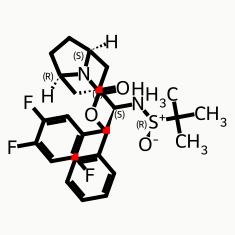 CC(C)(C)[S@+]([O-])N[C@@H](Cc1cc(F)c(F)cc1F)[C@@H]1C[C@H]2CC[C@@H](C1)N2C(=O)OCc1ccccc1